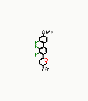 CCCC1CCC(c2ccc(-c3ccc(OC)cc3F)c(F)c2F)OC1